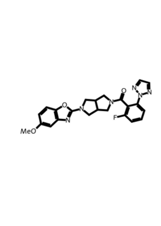 COc1ccc2oc(N3CC4CN(C(=O)c5c(F)cccc5-n5nccn5)CC4C3)nc2c1